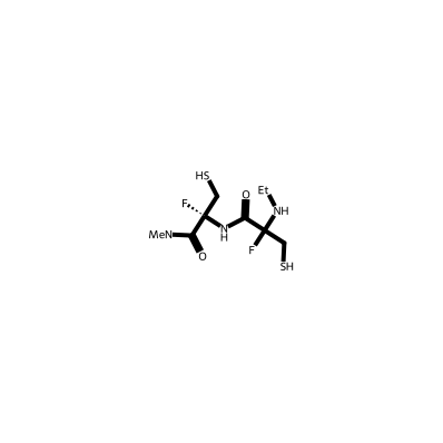 CCNC(F)(CS)C(=O)N[C@](F)(CS)C(=O)NC